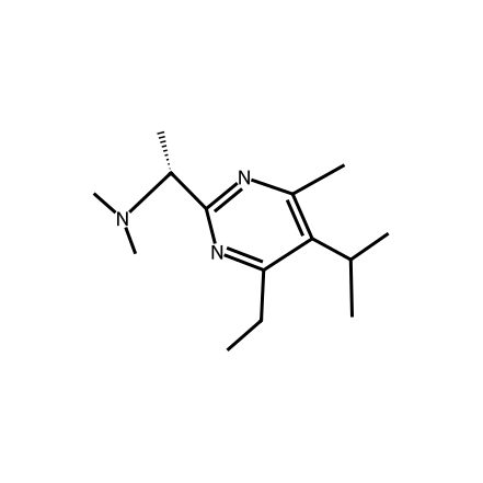 CCc1nc([C@@H](C)N(C)C)nc(C)c1C(C)C